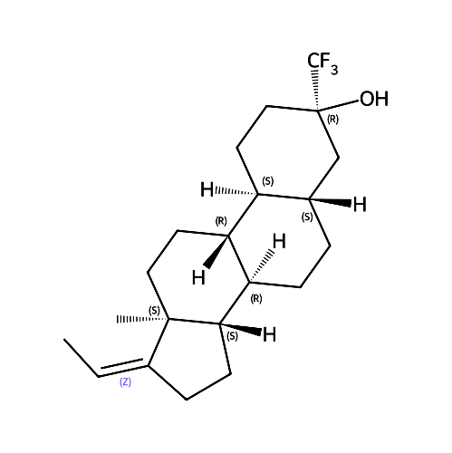 C/C=C1/CC[C@H]2[C@@H]3CC[C@H]4C[C@@](O)(C(F)(F)F)CC[C@@H]4[C@H]3CC[C@]12C